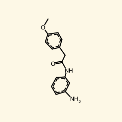 COc1ccc(CC(=O)Nc2cccc(N)c2)cc1